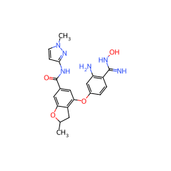 CC1Cc2c(Oc3ccc(C(=N)NO)c(N)c3)cc(C(=O)Nc3ccn(C)n3)cc2O1